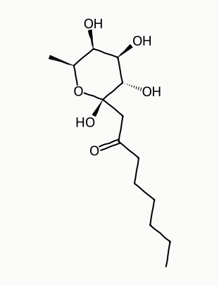 CCCCCCC(=O)C[C@]1(O)O[C@@H](C)[C@@H](O)[C@@H](O)[C@@H]1O